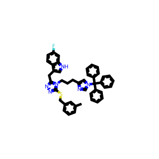 Cc1cccc(CSc2nnc(Cc3c[nH]c4cc(F)ccc34)n2CCCc2cn(C(c3ccccc3)(c3ccccc3)c3ccccc3)cn2)c1